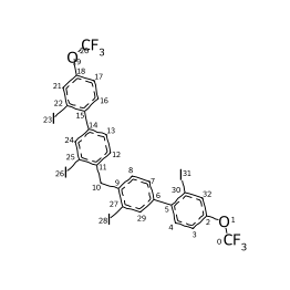 FC(F)(F)Oc1ccc(-c2ccc(Cc3ccc(-c4ccc(OC(F)(F)F)cc4I)cc3I)c(I)c2)c(I)c1